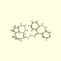 CN(CCC=C1c2ccccc2CCc2ccccc21)[C@@H]1CCCc2onc(O)c21